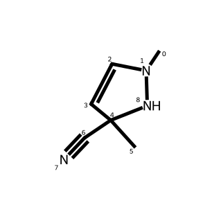 CN1C=CC(C)(C#N)N1